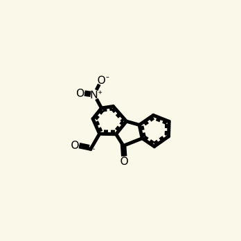 O=[C]c1cc([N+](=O)[O-])cc2c1C(=O)c1ccccc1-2